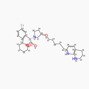 O=C(O)[C@H](c1cc(F)ccc1C1CCCCO1)N1CC[C@@H](OCCCCCc2ccc3c(n2)NCCC3)C1